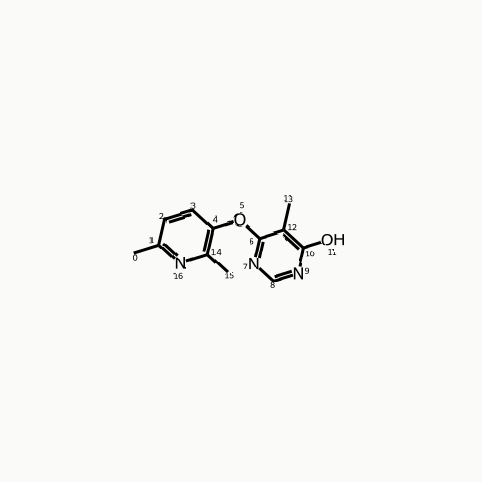 Cc1ccc(Oc2ncnc(O)c2C)c(C)n1